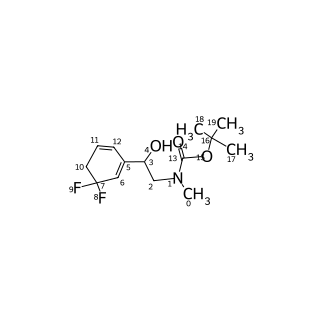 CN(CC(O)C1=CC(F)(F)CC=C1)C(=O)OC(C)(C)C